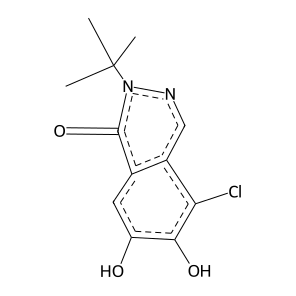 CC(C)(C)n1ncc2c(Cl)c(O)c(O)cc2c1=O